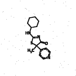 CC1(c2ccncc2)SC(NC2CCCCC2)=NC1=O